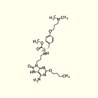 CCCCOc1nc(N)c2[nH]c(=O)n(CCCN[C@@H](Cc3ccc(OCCCN(C)C)cc3)C(=O)OC)c2n1